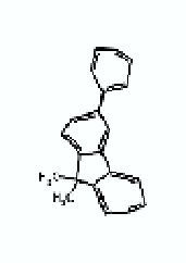 CC1(C)c2ccccc2-c2cc(-c3ccccc3)ccc21